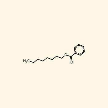 CCCCCCCCOC(=O)c1ccccc1